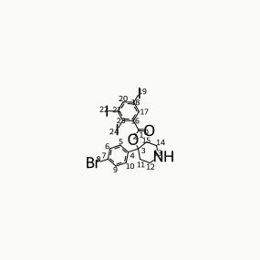 O=C(OC1(c2ccc(Br)cc2)CCNCC1)c1cc(I)cc(I)c1I